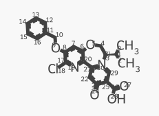 CC(C)[C@@H]1COc2cc(OCc3ccccc3)c(Cl)nc2-c2cc(=O)c(C(=O)O)cn21